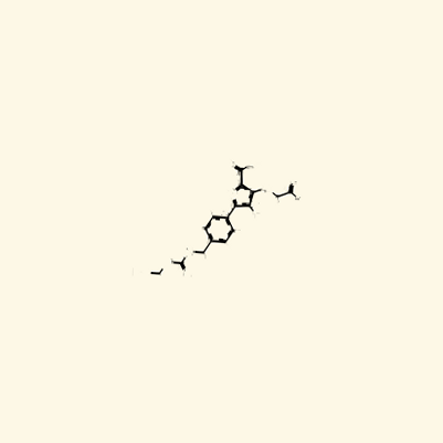 CCOC(=O)NCc1ccc(-c2sc(C(=O)O)c(OCC(=O)O)c2Cl)cc1